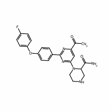 CC(=O)c1cc(N2CCNCC2C(N)=O)nc(-c2ccc(Oc3ccc(F)cc3)cc2)n1